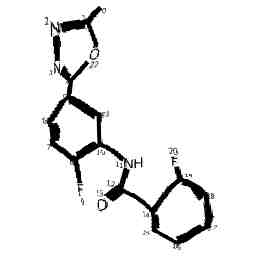 Cc1nnc(-c2ccc(F)c(NC(=O)c3ccccc3F)c2)o1